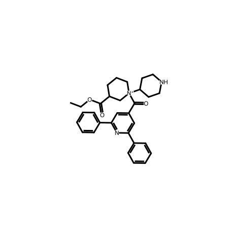 CCOC(=O)C1CCC[N+](C(=O)c2cc(-c3ccccc3)nc(-c3ccccc3)c2)(C2CCNCC2)C1